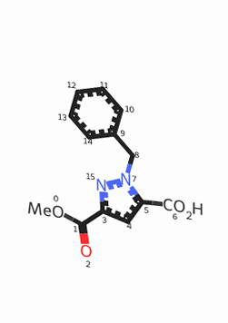 COC(=O)c1cc(C(=O)O)n(Cc2ccccc2)n1